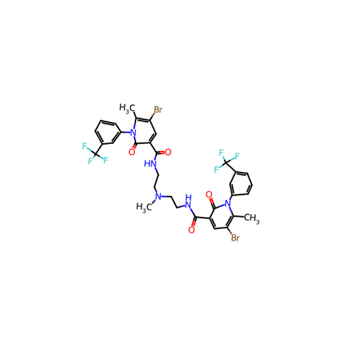 Cc1c(Br)cc(C(=O)NCCN(C)CCNC(=O)c2cc(Br)c(C)n(-c3cccc(C(F)(F)F)c3)c2=O)c(=O)n1-c1cccc(C(F)(F)F)c1